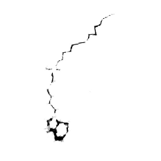 CCCCCCCCCCCC[N+](C)(C)CCCCCCn1cnc2ccccc21.[Br-]